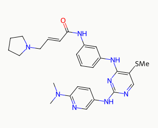 CSc1cnc(Nc2ccc(N(C)C)nc2)nc1Nc1cccc(NC(=O)/C=C/CN2CCCC2)c1